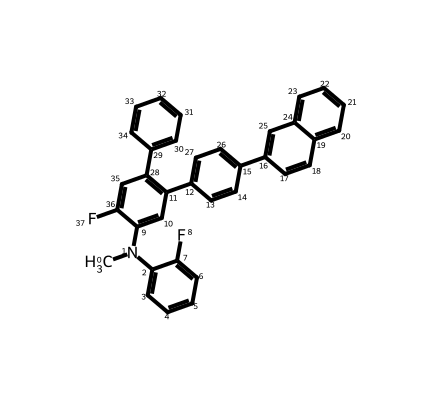 CN(c1ccccc1F)c1cc(-c2ccc(-c3ccc4ccccc4c3)cc2)c(-c2ccccc2)cc1F